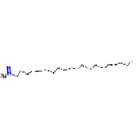 [2H]NCCCCCCCCCCCCCCCCCCCC